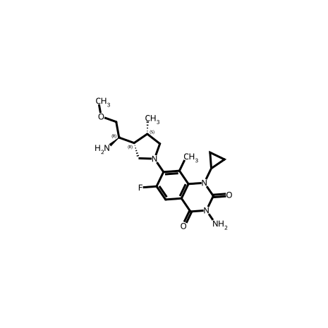 COC[C@H](N)[C@H]1CN(c2c(F)cc3c(=O)n(N)c(=O)n(C4CC4)c3c2C)C[C@H]1C